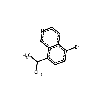 CC(C)c1ccc(Br)c2ccncc12